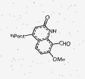 CCCCCc1cc(=O)[nH]c2c(C=O)c(OC)ccc12